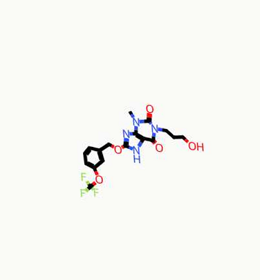 Cn1c(=O)n(CCCO)c(=O)c2[nH]c(OCc3cccc(OC(F)(F)F)c3)nc21